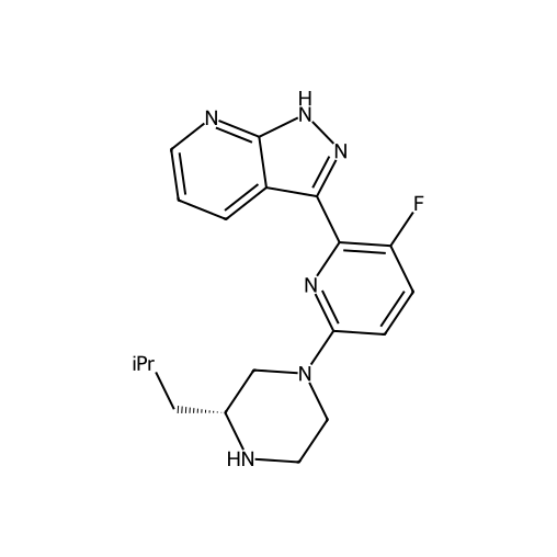 CC(C)C[C@@H]1CN(c2ccc(F)c(-c3n[nH]c4ncccc34)n2)CCN1